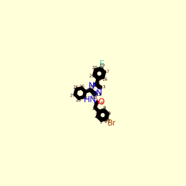 O=C(Cc1ccc(Br)cc1)Nc1ncc(-c2ccc(F)cc2)nc1C1CCCCC1